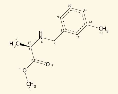 COC(=O)[C@@H](C)NCc1cccc(C)c1